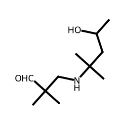 CC(O)CC(C)(C)NCC(C)(C)C=O